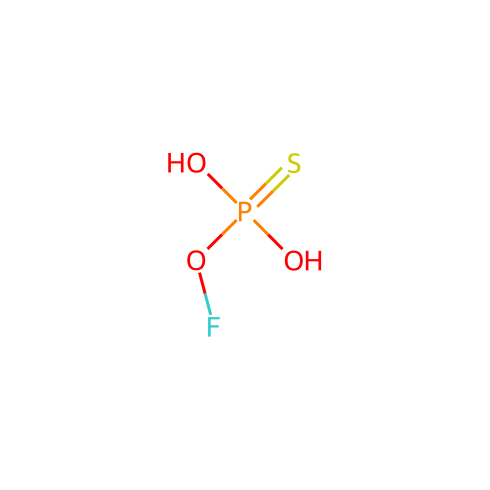 OP(O)(=S)OF